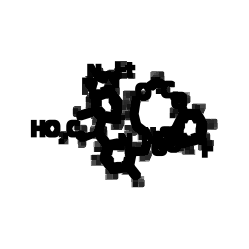 CCn1nnc2c(C)c([C@H](CC(=O)O)c3ccc(C)c(CN4CCCOCCOc5ccc(F)cc5S4(=O)=O)n3)ccc21